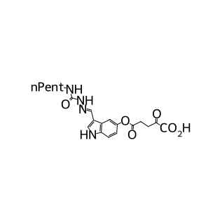 CCCCCNC(=O)NN=Cc1c[nH]c2ccc(OC(=O)CCC(=O)C(=O)O)cc12